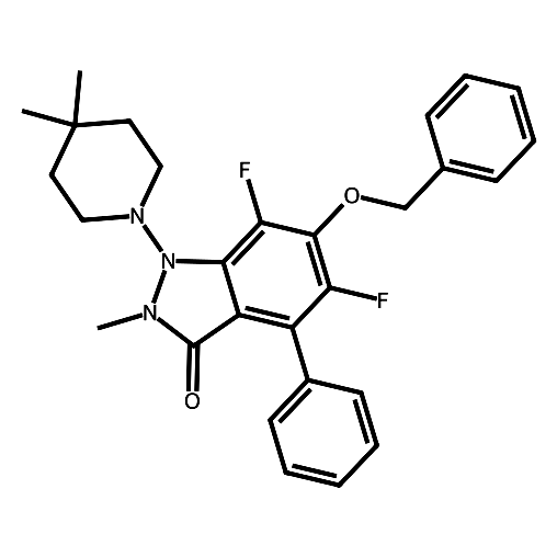 Cn1c(=O)c2c(-c3ccccc3)c(F)c(OCc3ccccc3)c(F)c2n1N1CCC(C)(C)CC1